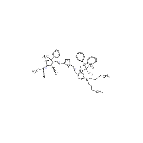 [C-]#[N+]C1=C(/C=C/c2ccc(/C=C/c3ccc(N(CCCC)CCCC)cc3O[Si](c3ccccc3)(c3ccccc3)C(C)(C)C)s2)C(C)(c2ccccc2)O/C1=C(\C)C#N